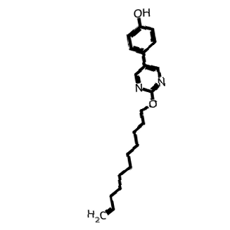 C=CCCCCCCCCCOc1ncc(-c2ccc(O)cc2)cn1